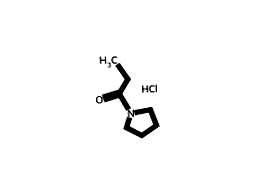 CCC(=O)N1CCCC1.Cl